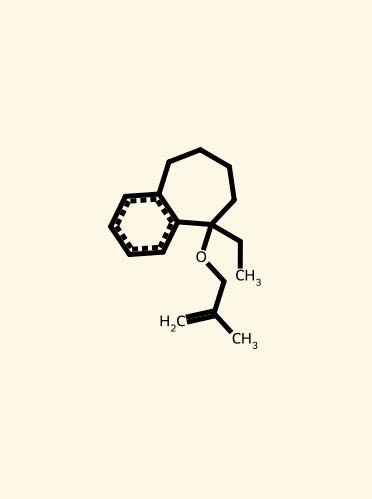 C=C(C)COC1(CC)CCCCc2ccccc21